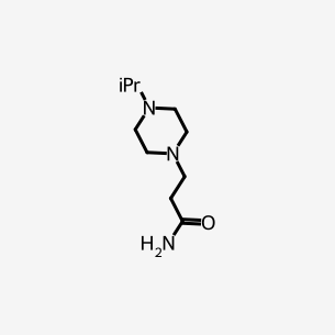 CC(C)N1CCN(CCC(N)=O)CC1